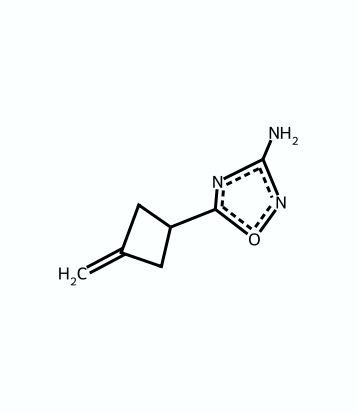 C=C1CC(c2nc(N)no2)C1